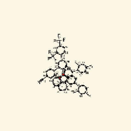 Cc1ccc(-c2ccc3c(c2)c2ccccc2n3-c2ccc(-c3ccc(C(F)(F)F)cc3C(F)(F)F)cc2-c2ccc(C#N)cc2-n2c3ccccc3c3cc(-c4ccc(C)cc4C)ccc32)c(C)c1